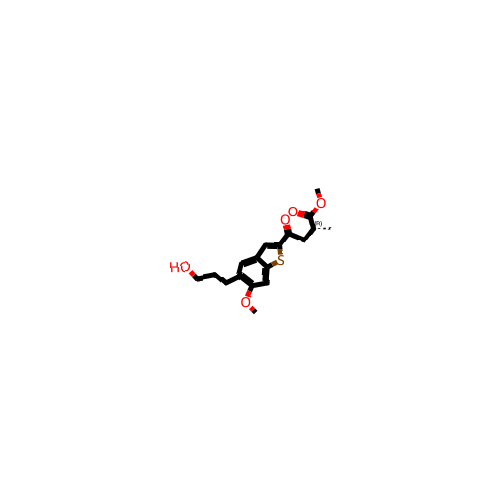 COC(=O)[C@H](C)CC(=O)c1cc2cc(CCCO)c(OC)cc2s1